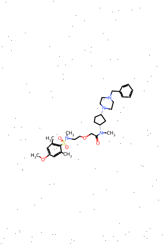 COc1cc(C)c(S(=O)(=O)N(C)CCOCC(=O)N(C)[C@@H]2CC[C@H](N3CCN(Cc4ccccc4)CC3)C2)c(C)c1